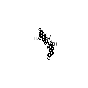 C#C[C@]1(OC(=O)CCC(=O)O[C@H]2CCC3C4C(C5CCC(=O)C=C5C[C@H]4C)[C@@H](C)C[C@@]32C)CCC2C3CCC4=CC(=O)CCC4C3CC[C@@]21CC